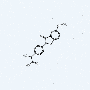 COc1ccc2c(c1)C(=O)N(c1ccc(C(C)C(=O)O)cc1)C2